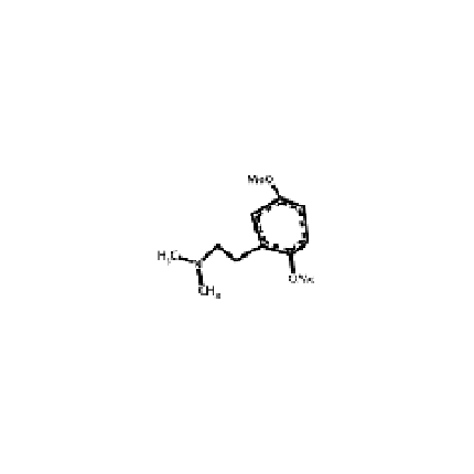 COc1[c]cc(OC)c(CCN(C)C)c1